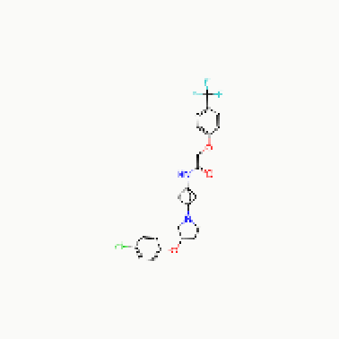 O=C(COc1ccc(C(F)(F)F)cc1)NC12CC(N3CCC(Oc4ccc(Cl)cc4)C3)(C1)C2